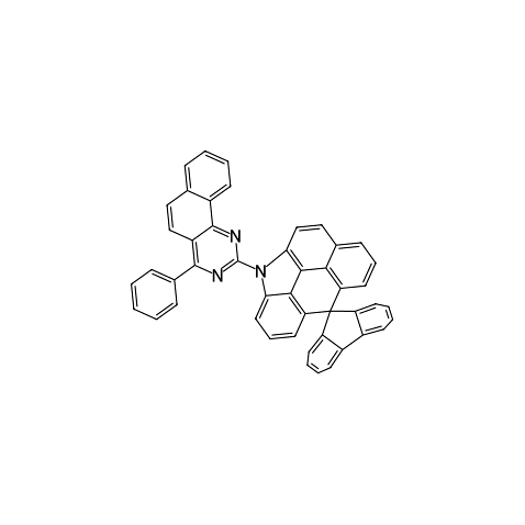 c1ccc(-c2nc(-n3c4cccc5c4c4c6c(cccc6ccc43)C53c4ccccc4-c4ccccc43)nc3c2ccc2ccccc23)cc1